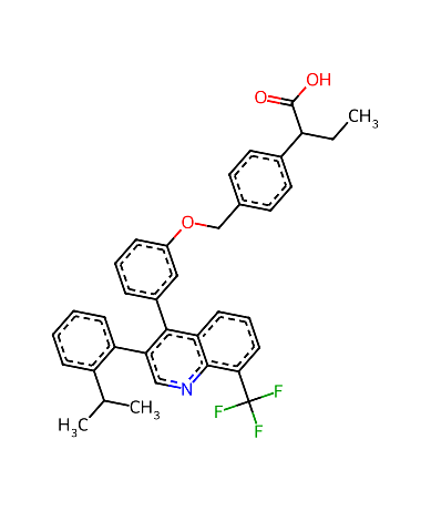 CCC(C(=O)O)c1ccc(COc2cccc(-c3c(-c4ccccc4C(C)C)cnc4c(C(F)(F)F)cccc34)c2)cc1